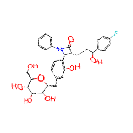 O=C1[C@H](CC[C@H](O)c2ccc(F)cc2)[C@@H](c2ccc(C[C@@H]3O[C@H](CO)[C@@H](O)[C@H](O)[C@H]3O)cc2O)N1c1ccccc1